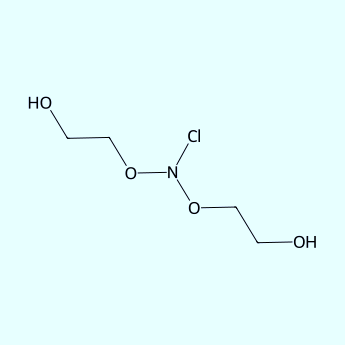 OCCON(Cl)OCCO